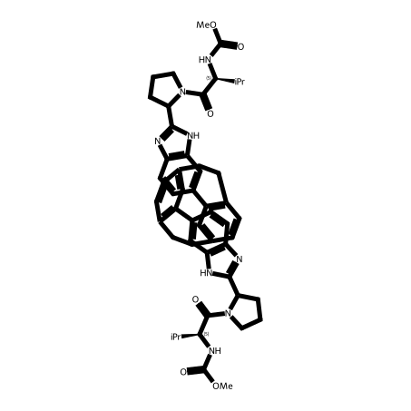 COC(=O)N[C@H](C(=O)N1CCCC1c1nc2ccc(-c3cc4ccc3CCc3ccc(c(-c5ccc6nc(C7CCCN7C(=O)[C@@H](NC(=O)OC)C(C)C)[nH]c6c5)c3)CC4)cc2[nH]1)C(C)C